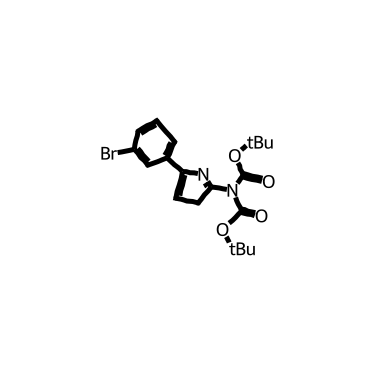 CC(C)(C)OC(=O)N(C(=O)OC(C)(C)C)C1=NC(c2cccc(Br)c2)=CC1